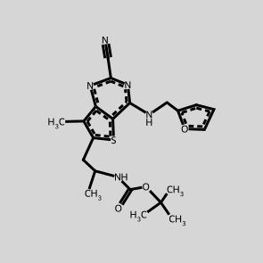 Cc1c(CC(C)NC(=O)OC(C)(C)C)sc2c(NCc3ccco3)nc(C#N)nc12